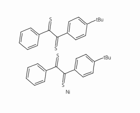 CC(C)(C)c1ccc(C(=S)C(=S)c2ccccc2)cc1.CC(C)(C)c1ccc(C(=S)C(=S)c2ccccc2)cc1.[Ni]